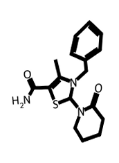 CC1=C(C(N)=O)SC(N2CCCCC2=O)N1Cc1ccccc1